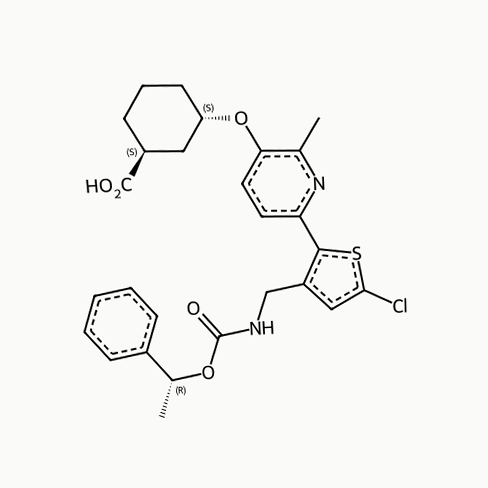 Cc1nc(-c2sc(Cl)cc2CNC(=O)O[C@H](C)c2ccccc2)ccc1O[C@H]1CCC[C@H](C(=O)O)C1